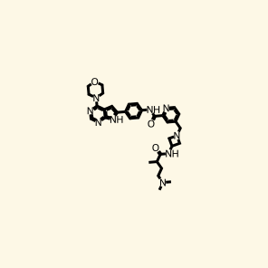 CC(CCN(C)C)C(=O)NC1CN(Cc2ccnc(C(=O)Nc3ccc(-c4cc5c(N6CCOCC6)ncnc5[nH]4)cc3)c2)C1